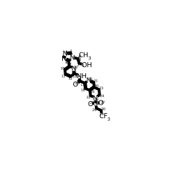 C[C@H](CO)n1cnnc1-c1cccc(NC(=O)c2cc3c(cn2)CCN(S(=O)(=O)CCC(F)(F)F)C3)n1